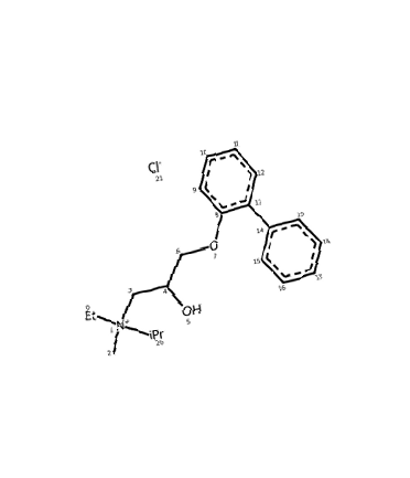 CC[N+](C)(CC(O)COc1ccccc1-c1ccccc1)C(C)C.[Cl-]